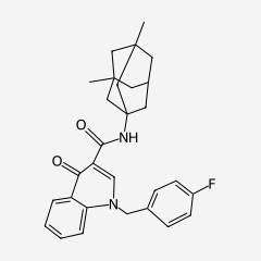 CC12CC3CC(C)(C1)CC(NC(=O)c1cn(Cc4ccc(F)cc4)c4ccccc4c1=O)(C3)C2